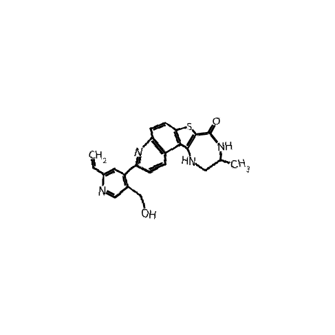 C=Cc1cc(-c2ccc3c(ccc4sc5c(c43)NCC(C)NC5=O)n2)c(CO)cn1